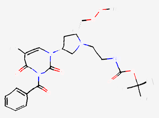 COOC[C@H]1C[C@H](n2cc(C)c(=O)n(C(=O)c3ccccc3)c2=O)CN1CCNC(=O)OC(C)(C)C